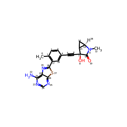 Cc1ccc(C#C[C@@]2(O)C(=O)N(C)[C@@H]3CC32)cc1-c1nc2c(N)ncnc2s1